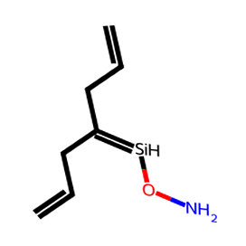 C=CCC(CC=C)=[SiH]ON